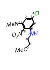 CNc1cc(Cl)cc(NCCOC)c1[N+](=O)[O-]